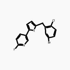 Fc1ccc(-c2ccc(Cc3cc(Br)ccc3Cl)s2)cn1